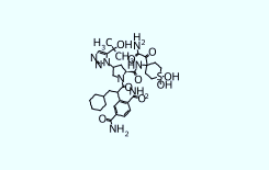 CC(C)(O)c1cnnn1[C@H]1C[C@@H](C(=O)NC2(C(=O)C(N)=O)CCS(O)(O)CC2)N(C(=O)C(CC2CCCCC2)c2cc(C(N)=O)ccc2C(N)=O)C1